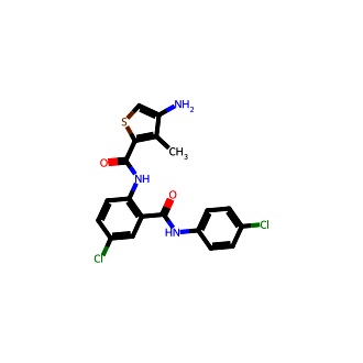 Cc1c(N)csc1C(=O)Nc1ccc(Cl)cc1C(=O)Nc1ccc(Cl)cc1